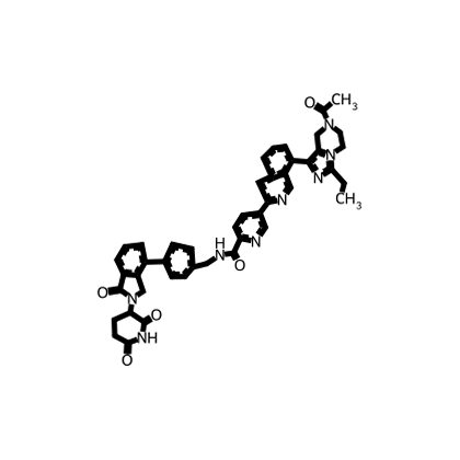 CCc1nc(-c2cccc3cc(-c4ccc(C(=O)NCc5ccc(-c6cccc7c6CN(C6CCC(=O)NC6=O)C7=O)cc5)nc4)ncc23)c2n1CCN(C(C)=O)C2